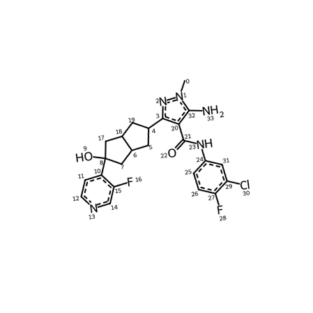 Cn1nc(C2CC3CC(O)(c4ccncc4F)CC3C2)c(C(=O)Nc2ccc(F)c(Cl)c2)c1N